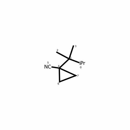 CC(C)C(C)(C)C1(C#N)CC1